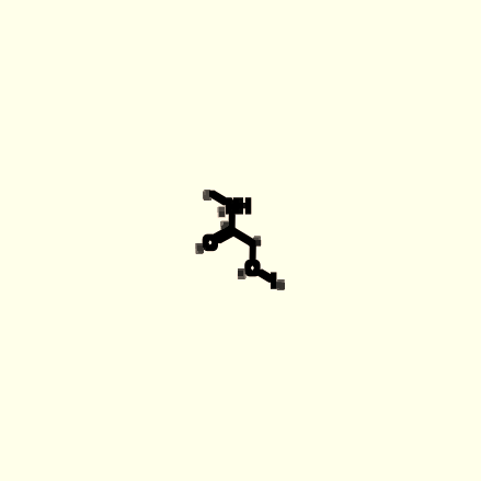 CNC(=O)COI